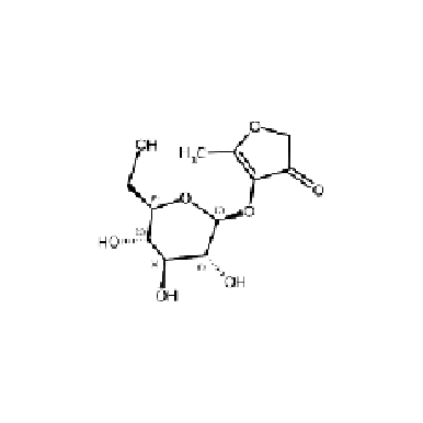 CC1=C(O[C@@H]2O[C@H](CO)[C@@H](O)[C@H](O)[C@H]2O)C(=O)CO1